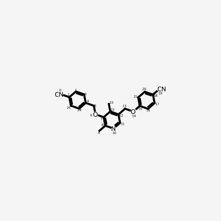 [C-]#[N+]c1ccc(COc2c(C)ncc(COc3ccc(C#N)cc3)c2C)cc1